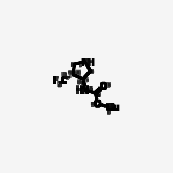 CC(C)(C)OC(=O)N[C@@H]1CNC[C@H]1C(F)(F)F